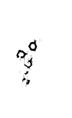 O=C(O[C@H]1C[C@@H]2CN(c3ccc(C(F)(F)F)cc3)c3cccnc3N2C1)n1ccnc1